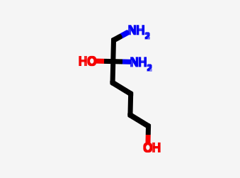 NCC(N)(O)CCCCO